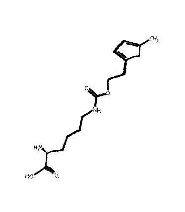 CC1=CC=C(CCOC(=O)NCCCC[C@H](N)C(=O)O)C1